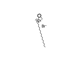 CCCCCCCCCCCCCCCC[N+](C)(C)C(CC)(CC)c1ccccc1CC.[Br-]